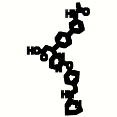 CC(=O)Nc1cccc(-c2ccc(C(CC(=O)O)c3ccnc(Oc4ccc(CNc5ccccn5)cc4)n3)cc2)c1